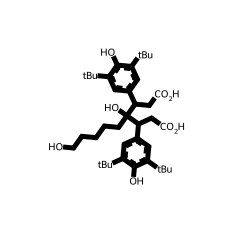 CC(C)(C)c1cc(C(CC(=O)O)C(O)(CCCCCO)C(CC(=O)O)c2cc(C(C)(C)C)c(O)c(C(C)(C)C)c2)cc(C(C)(C)C)c1O